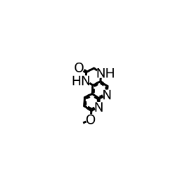 COc1ccc2c3c(cnc2n1)NCC(=O)N3